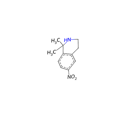 CC1(C)NCCc2cc([N+](=O)[O-])ccc21